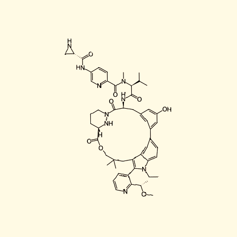 CCn1c(-c2cccnc2[C@H](C)OC)c2c3cc(ccc31)-c1cc(O)cc(c1)C[C@H](NC(=O)[C@H](C(C)C)N(C)C(=O)c1ccc(NC(=O)[C@@H]3CN3)cn1)C(=O)N1CCC[C@H](N1)C(=O)OCC(C)(C)C2